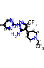 Nc1c(C2=CCN(CC(F)(F)F)CC2)c(C(F)(F)F)nn1-c1ncccn1